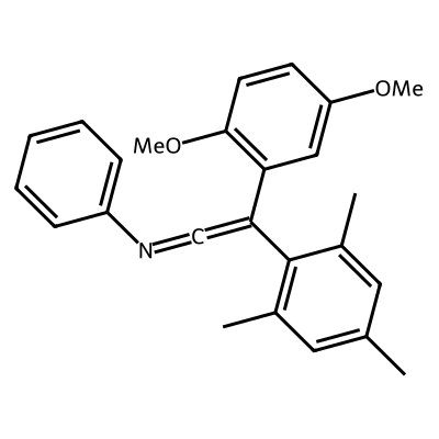 COc1ccc(OC)c(C(=C=Nc2ccccc2)c2c(C)cc(C)cc2C)c1